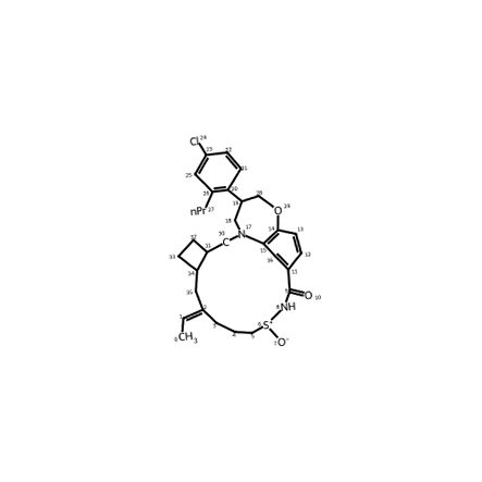 C/C=C1\CCC[S+]([O-])NC(=O)c2ccc3c(c2)N(CC(c2ccc(Cl)cc2CCC)CO3)CC2CCC2C1